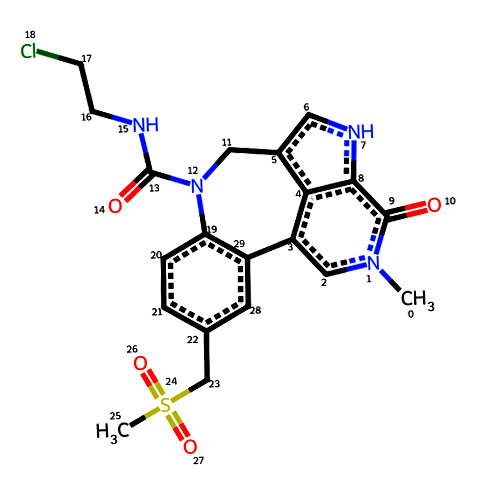 Cn1cc2c3c(c[nH]c3c1=O)CN(C(=O)NCCCl)c1ccc(CS(C)(=O)=O)cc1-2